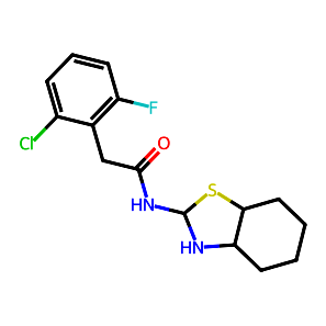 O=C(Cc1c(F)cccc1Cl)NC1NC2CCCCC2S1